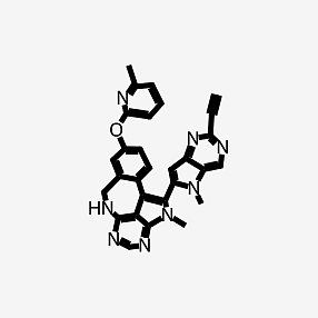 C#Cc1ncc2c(cc(-c3c4c5c(ncnc5n3C)NCc3cc(Oc5cccc(C)n5)ccc3-4)n2C)n1